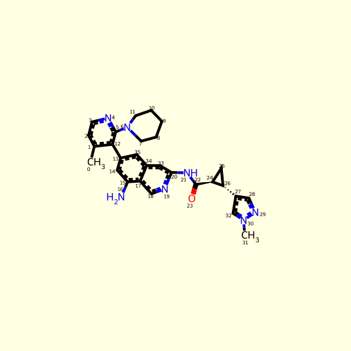 Cc1ccnc(N2CCCCC2)c1-c1cc(N)c2cnc(NC(=O)[C@H]3C[C@@H]3c3cnn(C)c3)cc2c1